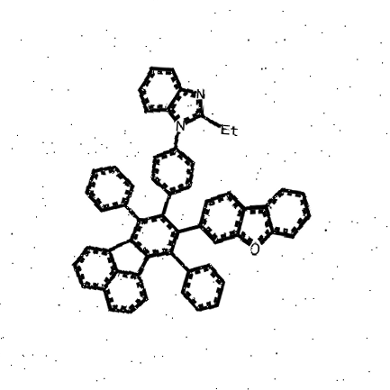 CCc1nc2ccccc2n1-c1ccc(-c2c(-c3ccc4c(c3)oc3ccccc34)c(-c3ccccc3)c3c(c2-c2ccccc2)-c2cccc4cccc-3c24)cc1